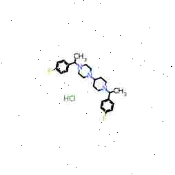 CC(c1ccc(F)cc1)N1CCC(N2CCN(C(C)c3ccc(F)cc3)CC2)CC1.Cl